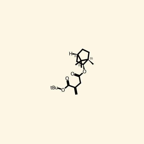 C=C(CC(=O)O[C@H]1C[C@@H]2CC[C@@]1(C)C2(C)C)C(=O)OC(C)(C)C